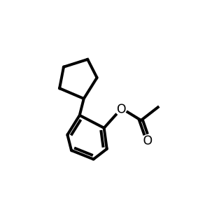 CC(=O)Oc1ccccc1C1CCCC1